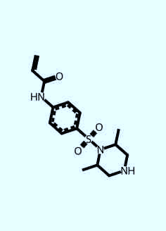 C=CC(=O)Nc1ccc(S(=O)(=O)N2C(C)CNCC2C)cc1